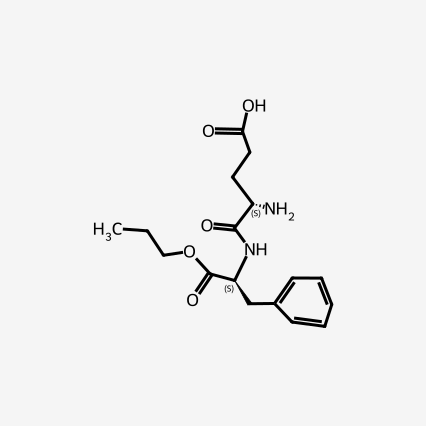 CCCOC(=O)[C@H](Cc1ccccc1)NC(=O)[C@@H](N)CCC(=O)O